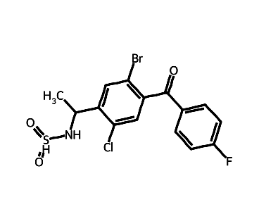 CC(N[SH](=O)=O)c1cc(Br)c(C(=O)c2ccc(F)cc2)cc1Cl